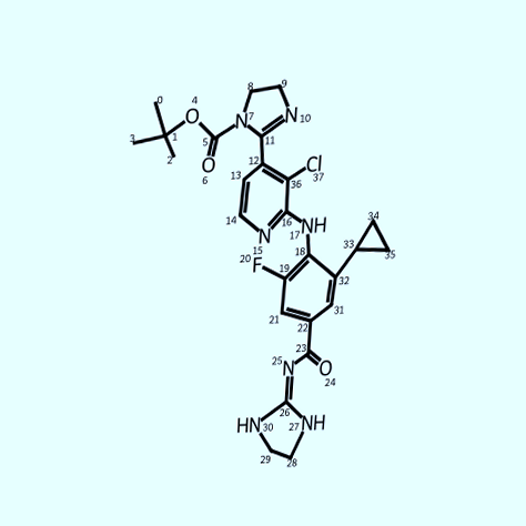 CC(C)(C)OC(=O)N1CCN=C1c1ccnc(Nc2c(F)cc(C(=O)N=C3NCCN3)cc2C2CC2)c1Cl